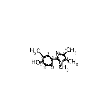 Cc1cc(-c2nc(C)c(C)n2C)ccc1O